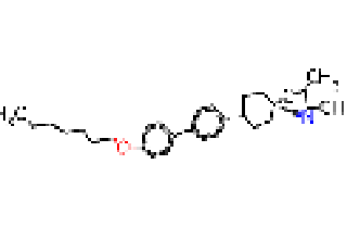 CCCCCCCOc1ccc(-c2ccc([C@H]3CC[C@@](C#N)(CC(C)CC)CC3)cc2)cc1